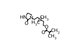 C=C(C)C(=O)OCC[N+](C)(C)CCN1CCNC1=O